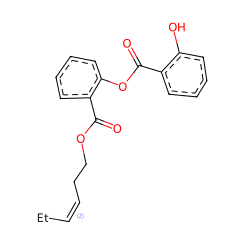 CC/C=C\CCOC(=O)c1ccccc1OC(=O)c1ccccc1O